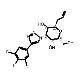 C=CC[C@H]1O[C@H](CO)[C@H](O)[C@H](n2cc(-c3cc(F)c(F)c(F)c3)nn2)[C@H]1O